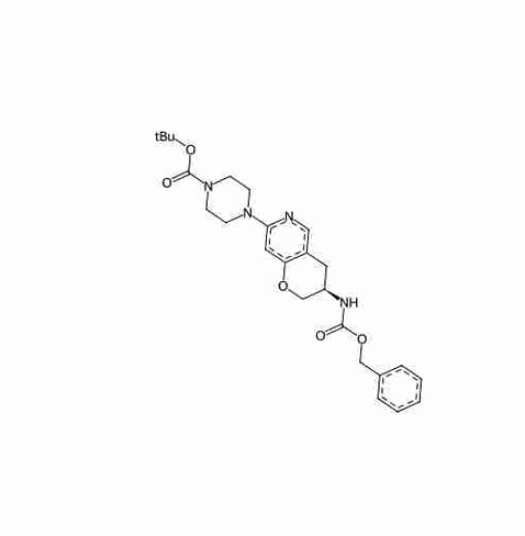 CC(C)(C)OC(=O)N1CCN(c2cc3c(cn2)C[C@@H](NC(=O)OCc2ccccc2)CO3)CC1